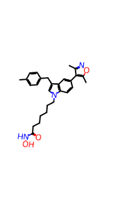 Cc1ccc(Cc2cn(CCCCCCC(=O)NO)c3ccc(-c4c(C)noc4C)cc23)cc1